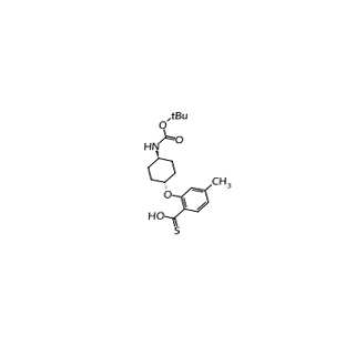 Cc1ccc(C(O)=S)c(O[C@H]2CC[C@H](NC(=O)OC(C)(C)C)CC2)c1